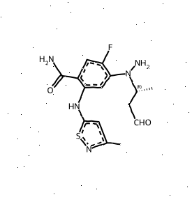 Cc1cc(Nc2cc(N(N)[C@H](C)CC=O)c(F)cc2C(N)=O)sn1